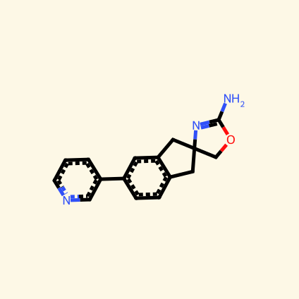 NC1=NC2(CO1)Cc1ccc(-c3cccnc3)cc1C2